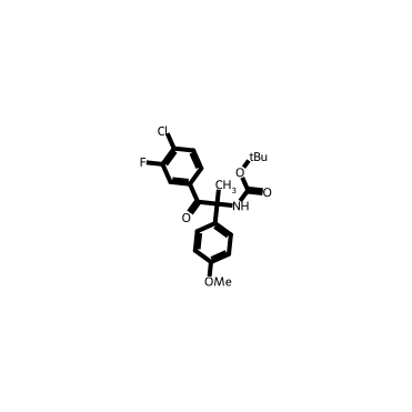 COc1ccc(C(C)(NC(=O)OC(C)(C)C)C(=O)c2ccc(Cl)c(F)c2)cc1